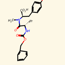 CC(C)[C@H](NC(=O)OCc1ccccc1)C(=O)N(C)[C@H](Cc1ccc(OC(C)(C)C)cc1)C(=O)O